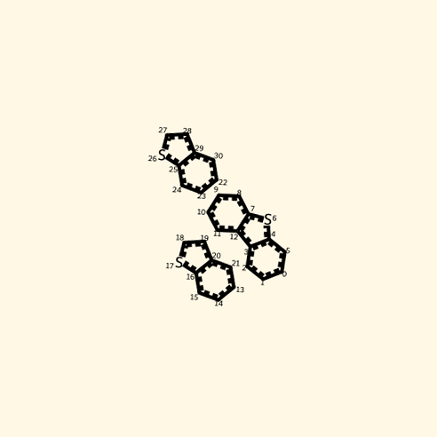 c1ccc2c(c1)sc1ccccc12.c1ccc2sccc2c1.c1ccc2sccc2c1